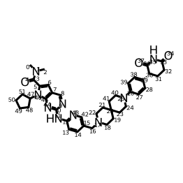 CN(C)C(=O)c1cc2cnc(Nc3ccc(CN4CCC5(CC4)CCN(c4ccc([C@H]6CCC(=O)NC6=O)cc4)CC5)cn3)nc2n1C1CCCC1